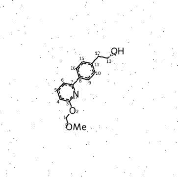 COCOc1cccc(-c2ccc(CCO)cc2)n1